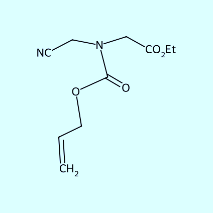 C=CCOC(=O)N(CC#N)CC(=O)OCC